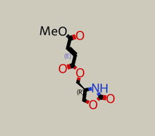 COC(=O)/C=C/C(=O)OC[C@@H]1COC(=O)N1